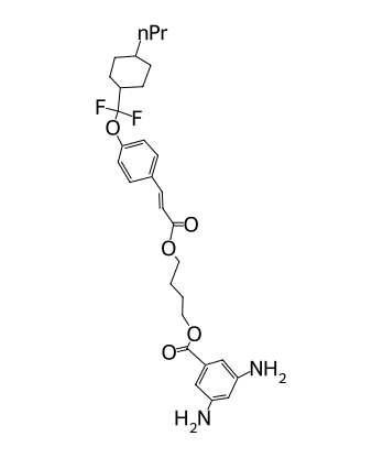 CCCC1CCC(C(F)(F)Oc2ccc(/C=C/C(=O)OCCCCOC(=O)c3cc(N)cc(N)c3)cc2)CC1